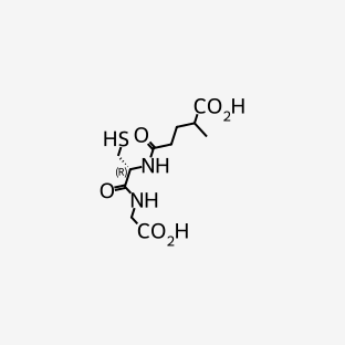 CC(CCC(=O)N[C@@H](CS)C(=O)NCC(=O)O)C(=O)O